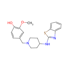 COc1cc(CN2CCC(Nc3nc4ccccc4s3)CC2)ccc1O